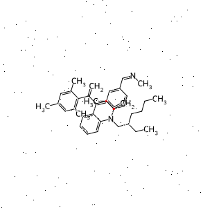 C=C/C=C(/C(=C)c1c(C)cc(C)cc1C)c1ccccc1N(CC(CC)CCCC)c1ccc(/C=N\C)cc1C